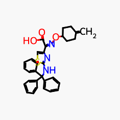 C=C1CCC(ON=C(C(=O)O)c2csc(NC(c3ccccc3)(c3ccccc3)c3ccccc3)n2)CC1